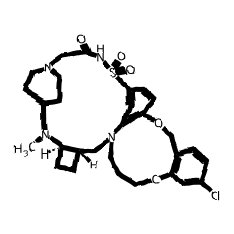 CN1C2CCN(CC2)CC(=O)NS(=O)(=O)c2ccc3c(c2)N(CCCCc2cc(Cl)ccc2CO3)C[C@@H]2CC[C@H]21